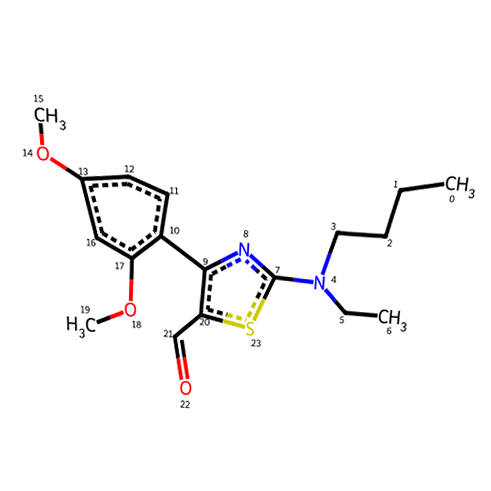 CCCCN(CC)c1nc(-c2ccc(OC)cc2OC)c(C=O)s1